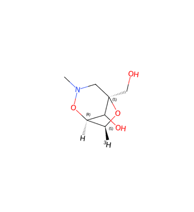 [3H][C@@H]1O[C@]2(CO)CN(C)O[C@H]1C2O